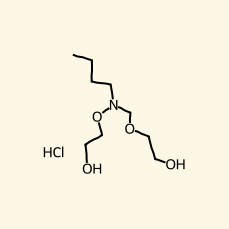 CCCCN(COCCO)OCCO.Cl